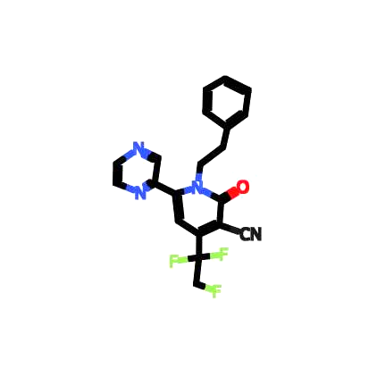 N#Cc1c(C(F)(F)CF)cc(-c2cnccn2)n(CCc2ccccc2)c1=O